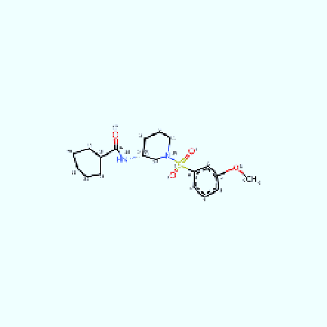 COc1cccc(S(=O)(=O)N2CCC[C@@H](NC(=O)C3CCCCC3)C2)c1